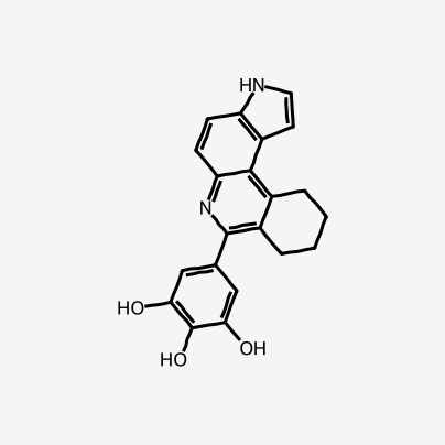 Oc1cc(-c2nc3ccc4[nH]ccc4c3c3c2CCCC3)cc(O)c1O